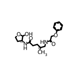 C[C@@H](CCC(=O)N[C@H]1CCOC1O)CNC(=O)COc1ccccc1